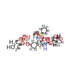 CC(C)CN(C[C@@H](O)[C@H](Cc1ccc(OCP(=O)(O)O[C@@H](C)C(=O)O)cc1)NC(=O)O[C@H]1CO[C@H]2OCC[C@H]21)S(=O)(=O)c1ccccc1